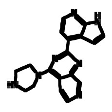 c1cc2c(N3CCNCC3)nc(-c3ccnc4[nH]ccc34)nc2cn1